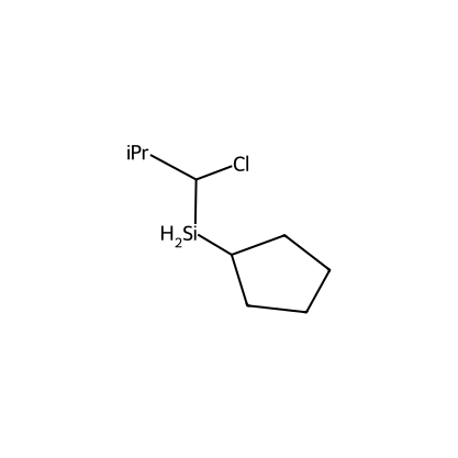 CC(C)C(Cl)[SiH2]C1CCCC1